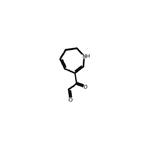 O=CC(=O)C1=CNCCC=C1